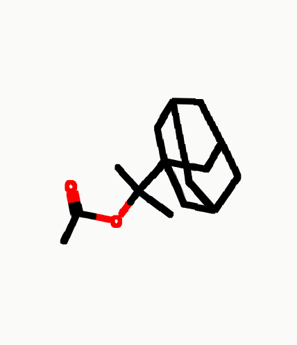 CC(=O)OC(C)(C)C12CC3CC(CC(C3)C1)C2